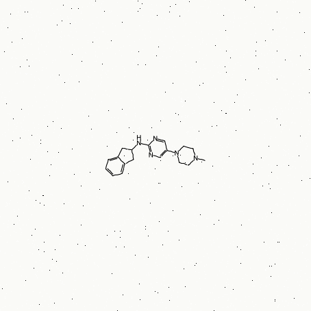 CN1CCN(c2cnc(NC3Cc4ccccc4C3)nc2)CC1